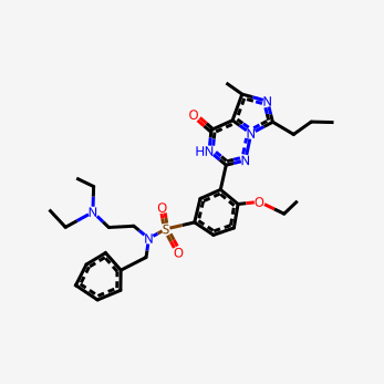 CCCc1nc(C)c2c(=O)[nH]c(-c3cc(S(=O)(=O)N(CCN(CC)CC)Cc4ccccc4)ccc3OCC)nn12